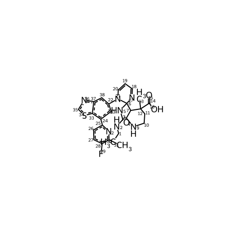 CCNC(=O)NC1(C2CNCCC2(C)C(=O)O)N=CC=CN1c1cc(-c2ccc(F)c(C)n2)c2scnc2c1